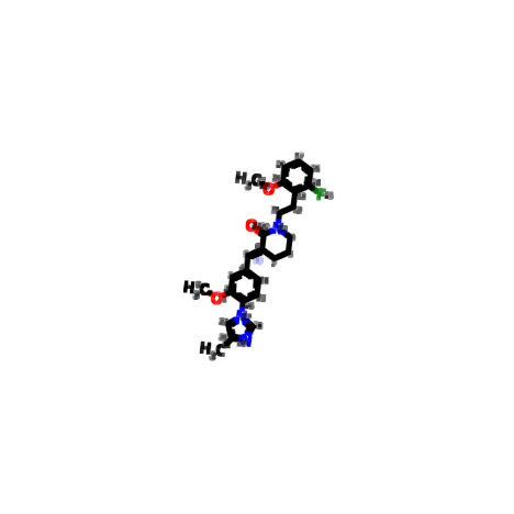 COc1cc(/C=C2\CCCN(CCc3c(F)cccc3OC)C2=O)ccc1-n1cnc(C)c1